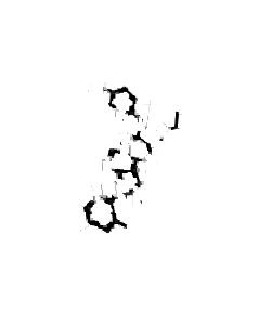 CCOC[C@H](Oc1ncnc2c1cnn2-c1ncccc1C)C(=O)Nc1ccc(Cl)cn1